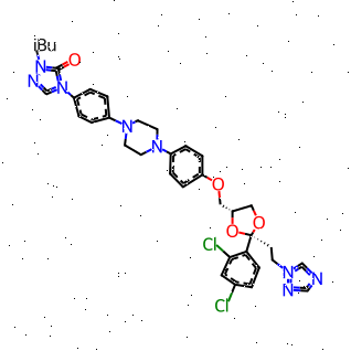 CCC(C)n1ncn(-c2ccc(N3CCN(c4ccc(OC[C@@H]5CO[C@@](CCn6cncn6)(c6ccc(Cl)cc6Cl)O5)cc4)CC3)cc2)c1=O